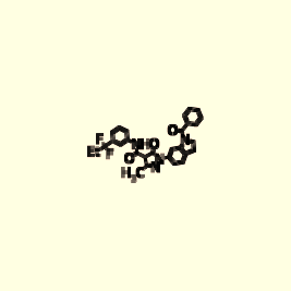 CCC(F)(F)c1cccc(NC(=O)C2C(=O)N(c3ccc4ccn(C(=O)c5ccccc5)c4c3)N=C2C)c1